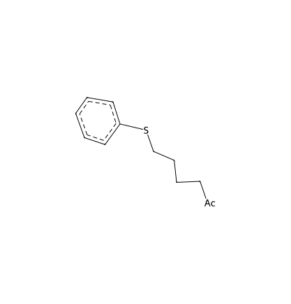 CC(=O)CCCCSc1ccccc1